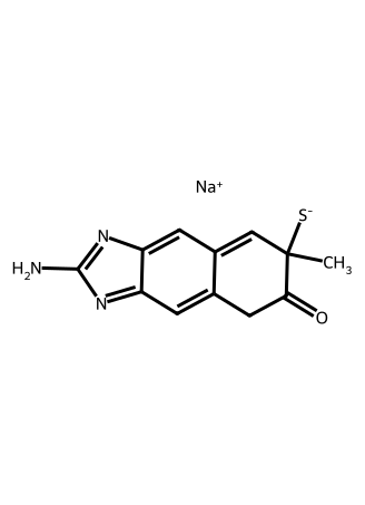 CC1([S-])C=c2cc3c(cc2CC1=O)=NC(N)=N3.[Na+]